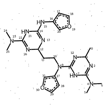 CC1N=C(N(C)C)NC(N(CCC2N=C(Nc3ccoc3)NC(N(C)C)=N2)c2ccoc2)=N1